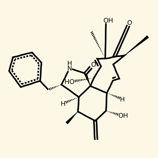 C=C1[C@@H](C)[C@H]2[C@H](Cc3ccccc3)NC(=O)[C@]23[C@H](O)/C=C/[C@@](C)(O)C(=O)[C@@H](C)C/C=C/[C@H]3[C@@H]1O